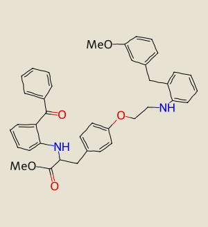 COC(=O)C(Cc1ccc(OCCNc2ccccc2Cc2cccc(OC)c2)cc1)Nc1ccccc1C(=O)c1ccccc1